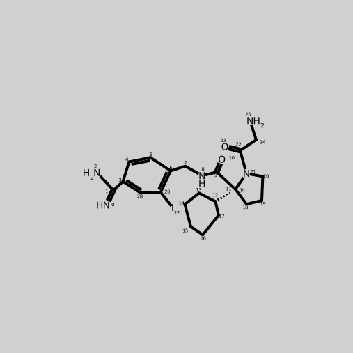 N=C(N)c1ccc(CNC(=O)[C@]2(C3CCCCC3)CCCN2C(=O)CN)c(I)c1